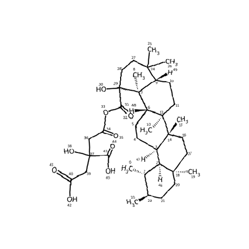 C[C@@H]1[C@H]2[C@H]3CC[C@@H]4[C@]5(C)[C@@H](CC[C@@]4(C)[C@]3(C)CC[C@@]2(C)CC[C@H]1C)C(C)(C)CCC5(O)C(=O)OC(=O)CC(O)(CC(=O)O)C(=O)O